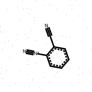 N#Cc1ccccc1[N+]#N